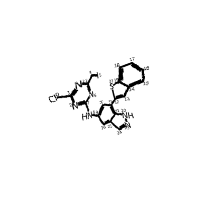 Clc1nc(CI)nc(Nc2cc(-c3cc4ccccc4s3)c3[nH]ncc3c2)n1